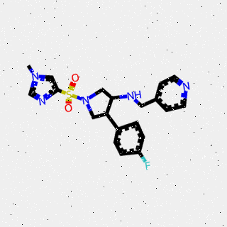 Cn1cnc(S(=O)(=O)N2CC(NCc3ccncc3)C(c3ccc(F)cc3)C2)c1